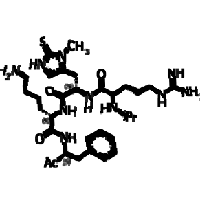 CC(=O)[C@H](Cc1ccccc1)NC(=O)[C@H](CCCCN)NC(=O)[C@H](Cc1c[nH]c(=S)n1C)NC(=O)C(CCCNC(=N)N)NC(C)C